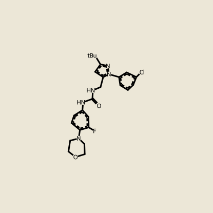 CC(C)(C)c1cc(CNC(=O)Nc2ccc(N3CCOCC3)c(F)c2)n(-c2cccc(Cl)c2)n1